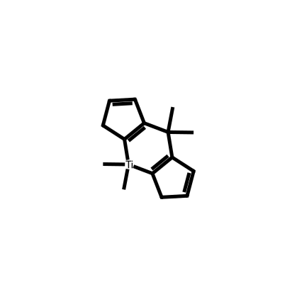 CC1(C)C2=[C](CC=C2)[Ti]([CH3])([CH3])[C]2=C1C=CC2